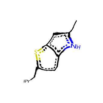 Cc1cc2sc(C(C)C)cc2[nH]1